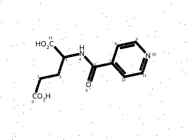 O=C(O)CCC(NC(=O)c1ccncc1)C(=O)O